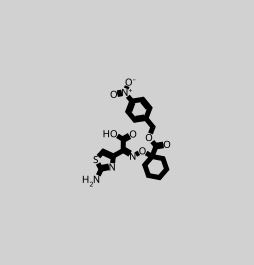 Nc1nc(C(=NOC2(C(=O)OCc3ccc([N+](=O)[O-])cc3)CCCCC2)C(=O)O)cs1